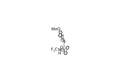 COc1ccc2nc(N3CCN(CCCCC4(OC(=O)NCC(F)(F)F)c5ccccc5-c5ccccc54)CC3)ccc2c1